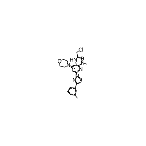 CNc1nc(-n2ccc(-c3cccc(C)c3)n2)cc(N2CCOCC2)c1NC(=O)CCl